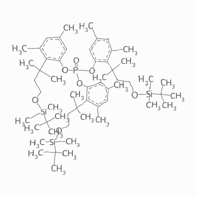 Cc1cc(C)c(C(C)(C)CCO[Si](C)(C)C(C)(C)C)c(OP(=O)(Oc2cc(C)cc(C)c2C(C)(C)CCO[Si](C)(C)C(C)(C)C)Oc2cc(C)cc(C)c2C(C)(C)CCO[Si](C)(C)C(C)(C)C)c1